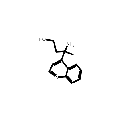 CC(N)(CCO)c1ccnc2ccccc12